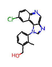 Cc1c(CO)cccc1-n1cnc2cnc3ccc(Cl)cc3c21